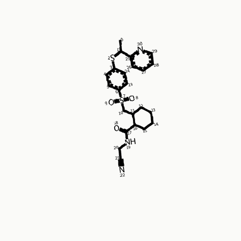 CC(Sc1ccc(S(=O)(=O)CC2CCCCC2C(=O)NCC#N)cc1)c1ccccn1